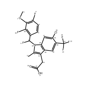 COc1c(F)ccc(C(F)n2c(C)c(CC(=O)O)c3cc(C(F)(F)F)c(Cl)cc32)c1F